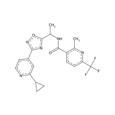 Cc1nc(C(F)(F)F)ccc1C(=O)NC(C)c1nc(-c2ccnc(C3CC3)c2)no1